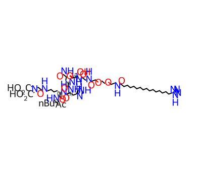 CCCC[C@H](NC(=O)[C@H](CCCCNC(=O)CN(CC(=O)O)CC(=O)O)NC(=O)[C@H](Cc1c[nH]cn1)NC(=O)[C@H](CCC(N)=O)NC(=O)[C@H](CO)NC(=O)CNC(=O)COCCOCCNC(=O)CCCCCCCCCCCCCCCc1nnn[nH]1)C(C)=O